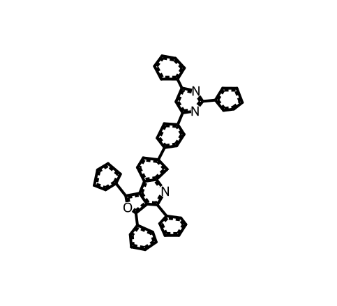 c1ccc(-c2cc(-c3ccc(-c4ccc5c(c4)nc(-c4ccccc4)c4c(-c6ccccc6)oc(-c6ccccc6)c45)cc3)nc(-c3ccccc3)n2)cc1